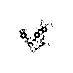 COc1ccc(OCCOC(C)(C)CCOC(C)C)c(C(=O)c2ccc(C(=O)N[C@@H]3CNC[C@@H]3NC(=O)c3ccc4cn[nH]c4c3)cc2)c1OC